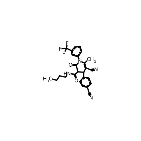 CCCCNC(=O)C1C(=O)N(c2cccc(C(F)(F)F)c2)C(C)=C(C#N)C1c1ccc(C#N)cc1